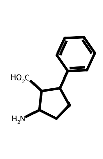 NC1CCC(c2ccccc2)C1C(=O)O